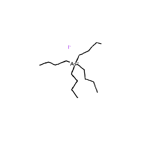 CCCC[As+](CCCC)(CCCC)CCCC.[I-]